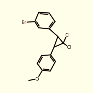 COc1ccc(C2C(c3cccc(Br)c3)C2(Cl)Cl)cc1